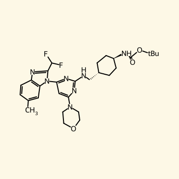 Cc1ccc2nc(C(F)F)n(-c3cc(N4CCOCC4)nc(NC[C@H]4CC[C@H](NC(=O)OC(C)(C)C)CC4)n3)c2c1